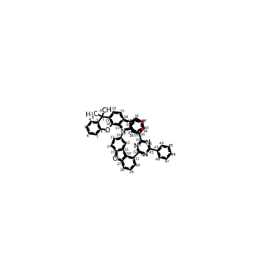 CC1(C)c2ccccc2Oc2c1ccc1c3ccccc3n(-c3ccc4oc5cccc(-c6nc(-c7ccccc7)nc(-c7ccccc7)n6)c5c4c3)c21